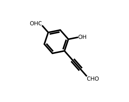 O=CC#Cc1ccc(C=O)cc1O